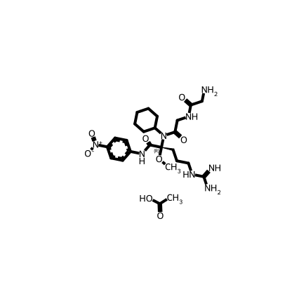 CC(=O)O.CO[C@](CCCNC(=N)N)(C(=O)Nc1ccc([N+](=O)[O-])cc1)N(C(=O)CNC(=O)CN)C1CCCCC1